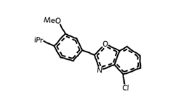 COc1cc(-c2nc3c(Cl)cccc3o2)ccc1C(C)C